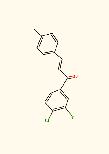 Cc1ccc(C=CC(=O)c2ccc(Cl)c(Cl)c2)cc1